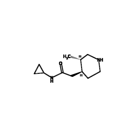 C[C@@H]1CNCC[C@H]1CC(=O)NC1CC1